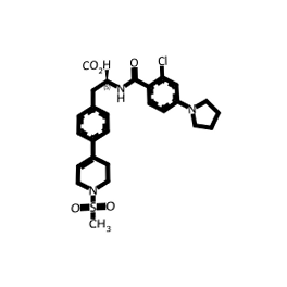 CS(=O)(=O)N1CC=C(c2ccc(C[C@H](NC(=O)c3ccc(N4CCCC4)cc3Cl)C(=O)O)cc2)CC1